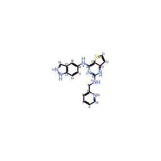 c1ccc(CNc2nc(Nc3ccc4[nH]ncc4c3)c3sccc3n2)nc1